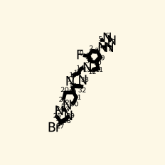 Fc1cc(-n2cnnn2)cc2ccn(Cc3cnc(C4CCN(c5ncc(Br)cn5)CC4)cn3)c12